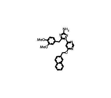 COc1ccc(Cc2nc(N)nn2-c2cc(OCc3ccc4ccccc4c3)ncn2)cc1OC